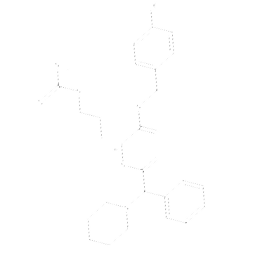 N=C(N)NCCC[C@@H](NC(=O)C(c1ccccc1)N1CCCCC1)C(=O)NCc1ccc(O)cc1